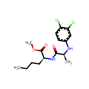 CCCC[C@H](NC(=O)[C@H](C)Nc1ccc(Cl)c(Cl)c1)C(=O)OC